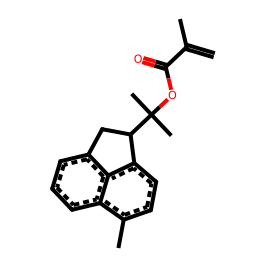 C=C(C)C(=O)OC(C)(C)C1Cc2cccc3c(C)ccc1c23